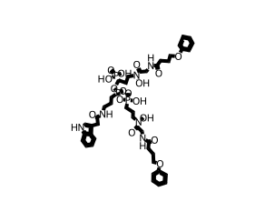 O=C(CCCOc1ccccc1)NCC(=O)N(O)CCCP(=O)(O)OP(=O)(CCCNC(=O)Cc1c[nH]c2ccccc12)OC(CCN(O)C(=O)CNC(=O)CCCOc1ccccc1)P(=O)(O)O